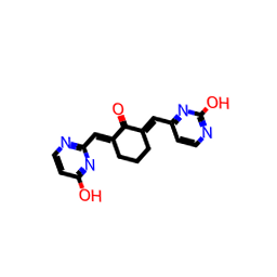 O=C1/C(=C/c2ccnc(O)n2)CCC/C1=C\c1nccc(O)n1